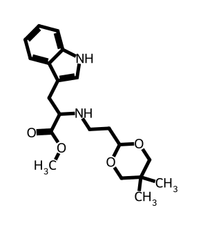 COC(=O)C(Cc1c[nH]c2ccccc12)NCCC1OCC(C)(C)CO1